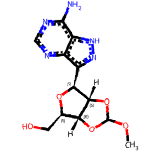 COC1O[C@@H]2[C@H](O1)[C@@H](CO)O[C@H]2c1n[nH]c2c(N)ncnc12